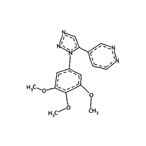 COc1cc(-n2nncc2-c2ccnnc2)cc(OC)c1OC